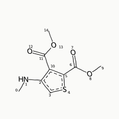 CNc1csc(C(=O)OC)c1C(=O)OC